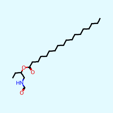 CCCCCCCCCCCCCCCCCC(=O)OC(CC)CNC=O